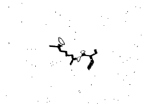 CCC(CC)C(=O)OC(C)CCCCC(C)=O